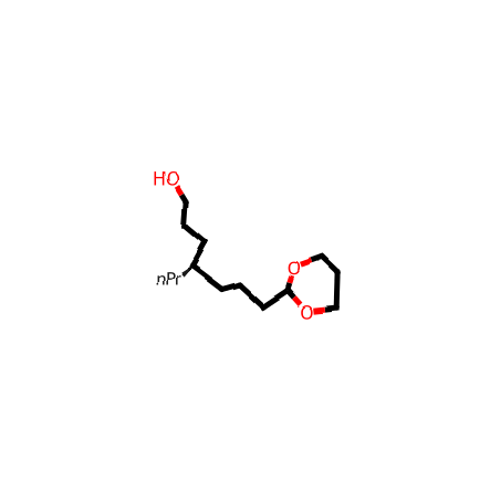 CCC[C@@H](CCCO)CCCC1OCCCO1